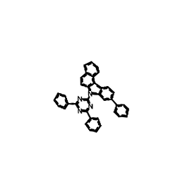 c1ccc(-c2ccc3c4c5ccccc5ccc4n(-c4nc(-c5ccccc5)nc(-c5ccccc5)n4)c3c2)cc1